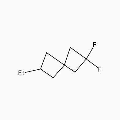 CCC1CC2(C1)CC(F)(F)C2